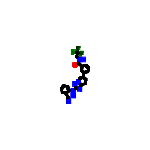 N#Cc1ccccc1Nc1nc2ccc(-c3cccc(C(=O)NCC(F)(F)F)c3)cn2n1